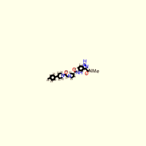 CNC(=O)c1n[nH]c2ccc(NC(=O)[C@@H]3CCN(CC(=O)N4CC=C(c5ccc(C)cc5)CC4)C3)cc12